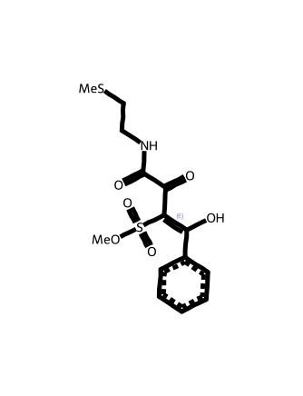 COS(=O)(=O)/C(C(=O)C(=O)NCCSC)=C(/O)c1ccccc1